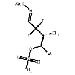 CC[C@@H](OS(C)(=O)=O)[C@@H](C)C(F)(F)/C=N/OC